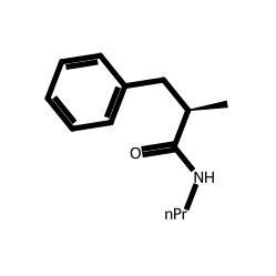 CCCNC(=O)[C@H](C)Cc1ccccc1